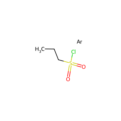 CCCS(=O)(=O)Cl.[Ar]